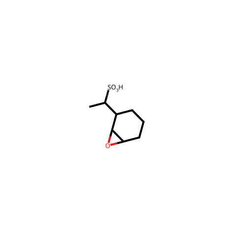 CC(C1CCCC2OC21)S(=O)(=O)O